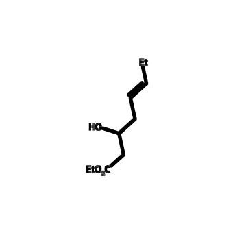 CCC=CCC(O)CC(=O)OCC